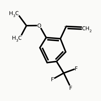 C=[C]c1cc(C(F)(F)F)ccc1OC(C)C